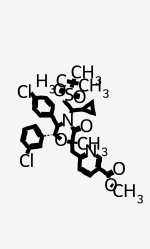 COC(=O)c1ccc(C[C@]2(C)O[C@H](c3cccc(Cl)c3)C(c3ccc(Cl)cc3)N(C(CS(=O)(=O)C(C)(C)C)C3CC3)C2=O)nc1